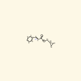 O=C(/C=C/c1ccccc1)OCC1CC1